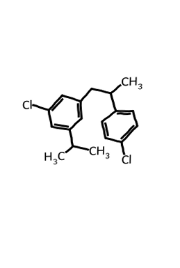 CC(C)c1cc(Cl)cc(CC(C)c2ccc(Cl)cc2)c1